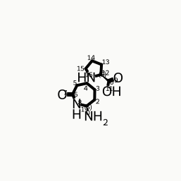 N[C@@H]1CCCCC(=O)N1.O=C(O)[C@@H]1CCCN1